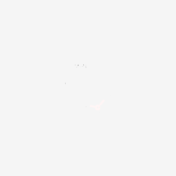 CNC1CCOC(C)=C1C